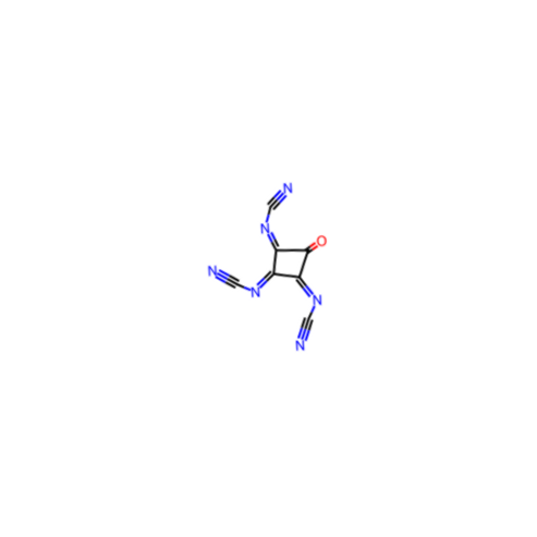 N#C\N=C1/C(=O)C(=N/C#N)/C1=N/C#N